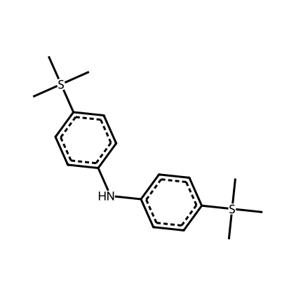 CS(C)(C)c1ccc(Nc2ccc(S(C)(C)C)cc2)cc1